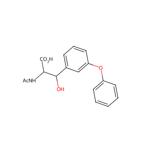 CC(=O)NC(C(=O)O)C(O)c1cccc(Oc2ccccc2)c1